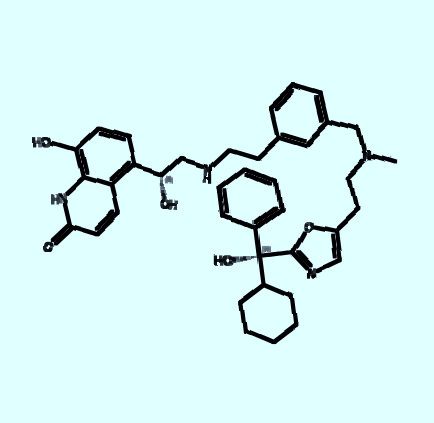 CN(CCc1cnc([C@](O)(c2ccccc2)C2CCCCC2)o1)Cc1cccc(CCNC[C@H](O)c2ccc(O)c3[nH]c(=O)ccc23)c1